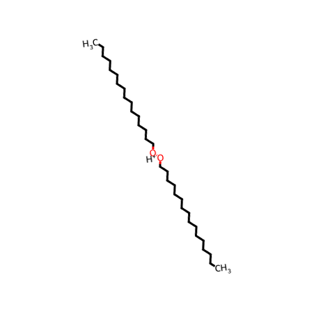 CCCCCCCCCCCCCCCCOOCCCCCCCCCCCCCCCC.[H+]